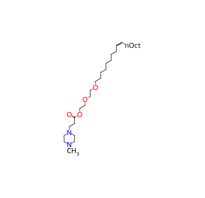 CCCCCCCC/C=C\CCCCCCCCOCCOCCOC(=O)CCN1CCN(C)CC1